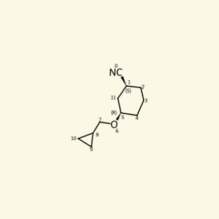 N#C[C@H]1CCC[C@@H](OCC2CC2)C1